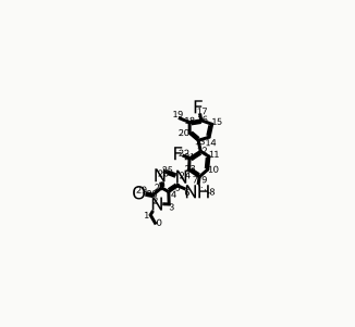 CCN1Cc2c(N[C@@H](C)c3ccc(-c4ccc(F)c(C)c4)c(F)c3)ncnc2C1=O